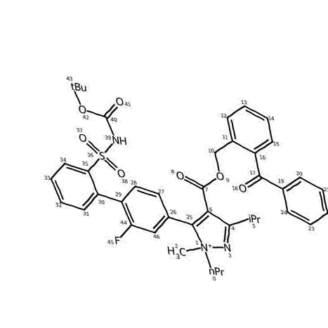 CCC[N+]1(C)N=C(C(C)C)C(C(=O)OCc2ccccc2C(=O)c2ccccc2)=C1c1ccc(-c2ccccc2S(=O)(=O)NC(=O)OC(C)(C)C)c(F)c1